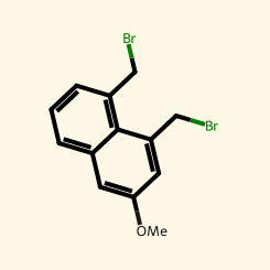 COc1cc(CBr)c2c(CBr)cccc2c1